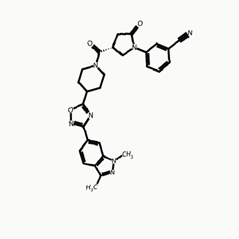 Cc1nn(C)c2cc(-c3noc(C4CCN(C(=O)[C@@H]5CC(=O)N(c6cccc(C#N)c6)C5)CC4)n3)ccc12